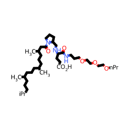 CCCOCCOCCOCCCNC(=O)C(CCC(=O)O)NCC1CCCN1C(=O)CC(C)CCCC(C)CCCC(C)CCCC(C)C